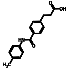 Cc1ccc(NC(=O)c2ccc(CCC(=O)O)cc2)cc1